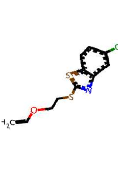 C=COCCSc1nc2cc(Cl)ccc2s1